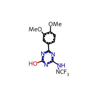 COc1ccc(-c2nc(O)nc(NNC(F)(F)F)n2)cc1OC